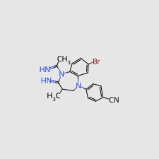 CC(=N)N1C(=N)C(C)CN(c2ccc(C#N)cc2)c2cc(Br)ccc21